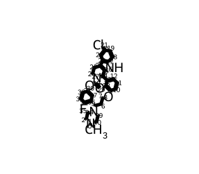 CN1CCN(CCCOc2cccc(C3c4[nH]c5ccc(Cl)cc5c4CCN3C(=O)Oc3ccc(F)cc3)c2)CC1